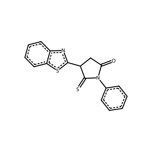 O=C1CC(c2nc3ccccc3s2)C(=S)N1c1ccccc1